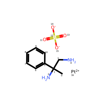 CC(N)(CN)c1ccccc1.O=S(=O)([O-])[O-].[Pt+2]